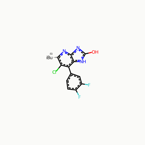 [CH2][C@@H](CC)c1nc2nc(O)[nH]c2c(-c2ccc(F)c(F)c2)c1Cl